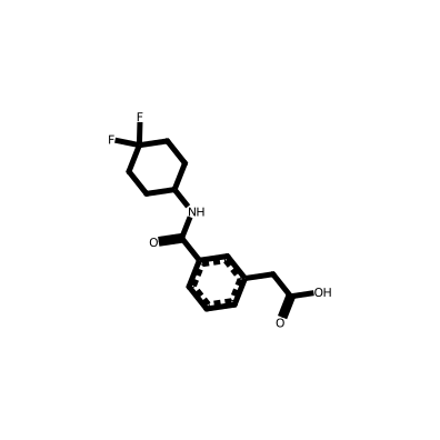 O=C(O)Cc1cccc(C(=O)NC2CCC(F)(F)CC2)c1